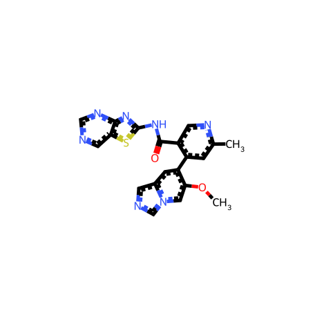 COc1cn2cncc2cc1-c1cc(C)ncc1C(=O)Nc1nc2ncncc2s1